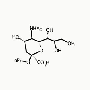 CCCO[C@@]1(C(=O)O)C[C@H](O)[C@@H](NC(C)=O)[C@H]([C@H](O)[C@H](O)CO)O1